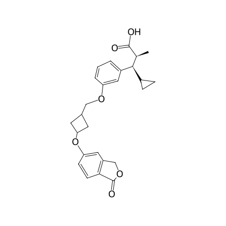 C[C@H](C(=O)O)[C@H](c1cccc(OCC2CC(Oc3ccc4c(c3)COC4=O)C2)c1)C1CC1